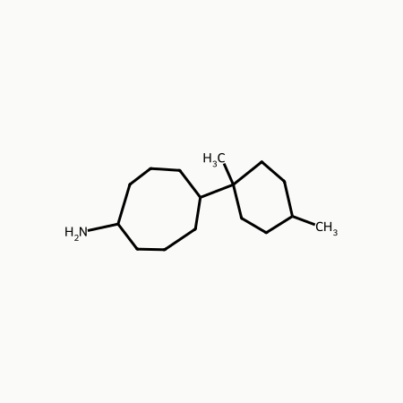 CC1CCC(C)(C2CCCC(N)CCC2)CC1